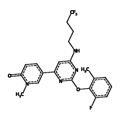 Cc1cccc(F)c1Oc1nc(NCCCC(F)(F)F)cc(-c2ccc(=O)n(C)c2)n1